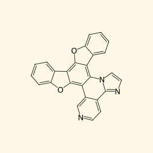 c1ccc2c(c1)oc1c2c2oc3ccccc3c2c2c1c1cnccc1c1nccn12